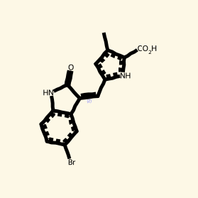 Cc1cc(/C=C2\C(=O)Nc3ccc(Br)cc32)[nH]c1C(=O)O